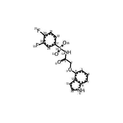 O=C(COc1cccc2[nH]ccc12)NS(=O)(=O)c1ccc(F)c(F)c1